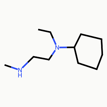 CCN(CCNC)C1CCCCC1